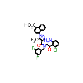 Nc1cccc(Cl)c1C(=O)CN(Cc1cc(F)cc(F)c1)C(=O)c1cnn(-c2ccc(C(=O)O)c3ccccc23)c1C(F)(F)F